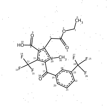 CCOC(=O)Cc1c(C(=O)O)c(C(F)(F)F)c(C(=O)c2cccc(C(F)(F)F)c2)n1C